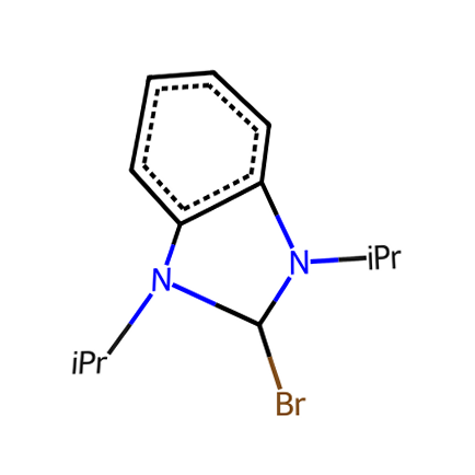 CC(C)N1c2ccccc2N(C(C)C)C1Br